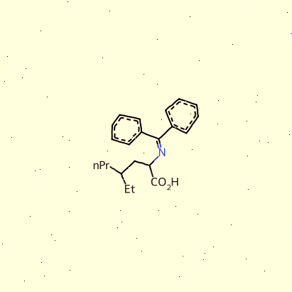 CCCC(CC)CC(N=C(c1ccccc1)c1ccccc1)C(=O)O